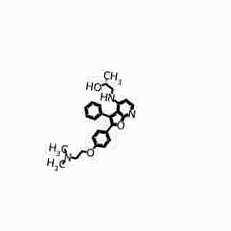 C[C@@H](O)CNc1ccnc2oc(-c3ccc(OCCN(C)C)cc3)c(-c3ccccc3)c12